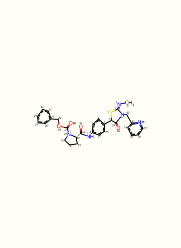 CN=C1SC(c2ccc(NC(=O)[C@@H]3CCCN3C(=O)OCc3ccccc3)cc2)C(=O)N1Cc1ccccn1